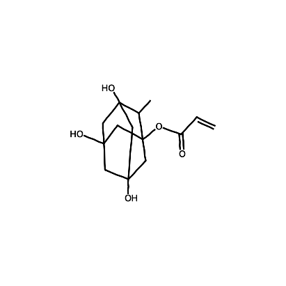 C=CC(=O)OC12CC3(O)CC(O)(CC(O)(C3)C1C)C2